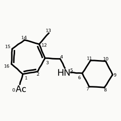 CC(=O)C1=CC(CNC2CCCCC2)=C(C)CC=C1